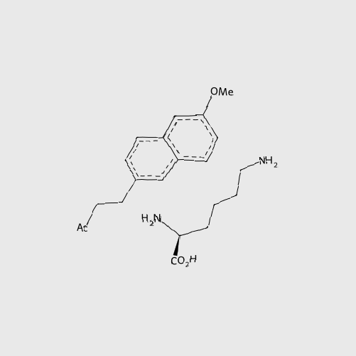 COc1ccc2cc(CCC(C)=O)ccc2c1.NCCCC[C@H](N)C(=O)O